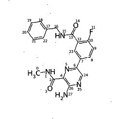 CNC(=O)c1nc(-c2ccc(F)c(C(=O)NCc3ccccc3)c2)cnc1N